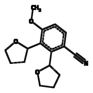 COc1ccc(C#N)c(C2CCCO2)c1C1CCCO1